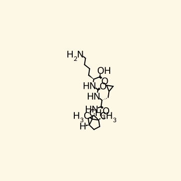 CC1(C)[C@@H]2CC[C@@]1(C)[C@@H](NC(=O)[C@@H](CC1CC1)NC(=O)N[C@@H](CCCCN)C(=O)O)C2